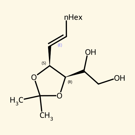 CCCCCC/C=C/[C@@H]1OC(C)(C)O[C@@H]1C(O)CO